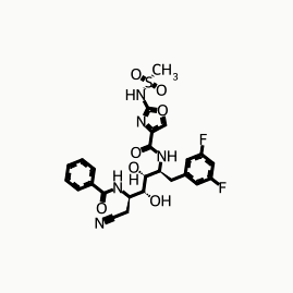 CS(=O)(=O)Nc1nc(C(=O)N[C@@H](Cc2cc(F)cc(F)c2)[C@@H](O)[C@H](O)[C@@H](CC#N)NC(=O)c2ccccc2)co1